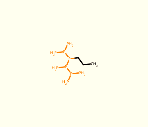 CCCP(P(P)P)P(P)P(P)P